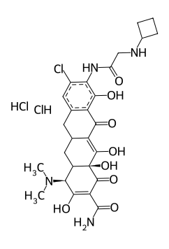 CN(C)[C@@H]1C(O)=C(C(N)=O)C(=O)[C@@]2(O)C(O)=C3C(=O)c4c(cc(Cl)c(NC(=O)CNC5CCC5)c4O)CC3CC12.Cl.Cl